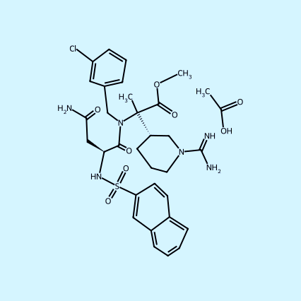 CC(=O)O.COC(=O)C(C)([C@H]1CCCN(C(=N)N)C1)N(Cc1cccc(Cl)c1)C(=O)[C@H](CC(N)=O)NS(=O)(=O)c1ccc2ccccc2c1